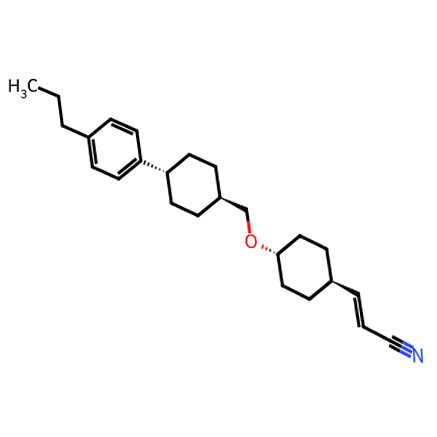 CCCc1ccc([C@H]2CC[C@H](CO[C@H]3CC[C@H](C=CC#N)CC3)CC2)cc1